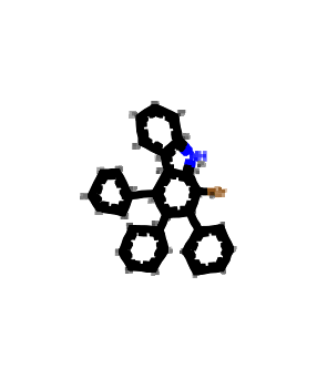 Brc1c(-c2ccccc2)c(-c2ccccc2)c(-c2ccccc2)c2c1[nH]c1ccccc12